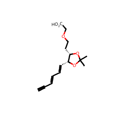 C#CC=CC=C[C@H]1OC(C)(C)O[C@H]1CCOCC(=O)O